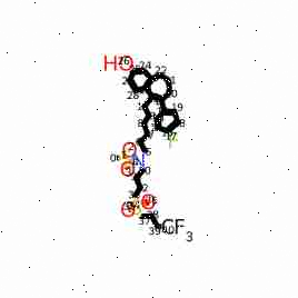 CS(=O)(=O)N(CCCCCCC1=C(c2ccc(F)cc2)CCCc2cc(O)ccc21)CCCCS(=O)(=O)CCCC(F)(F)F